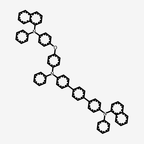 c1ccc(N(c2ccc(Oc3ccc(N(c4ccccc4)c4cccc5ccccc45)cc3)cc2)c2ccc(-c3ccc(-c4ccc(N(c5ccccc5)c5cccc6ccccc56)cc4)cc3)cc2)cc1